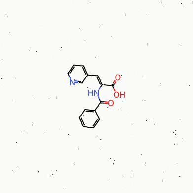 O=C(O)C(=Cc1cccnc1)NC(=O)c1ccccc1